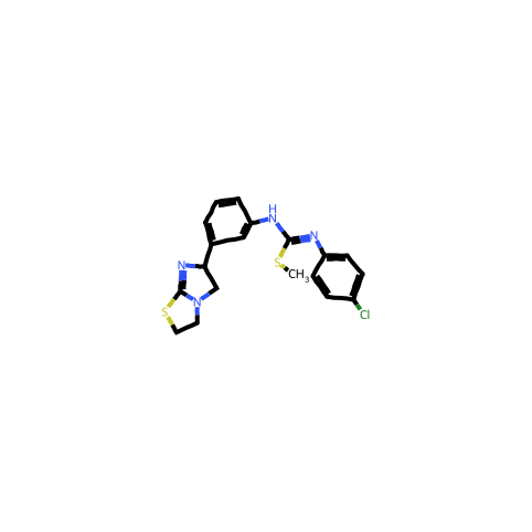 CSC(=Nc1ccc(Cl)cc1)Nc1cccc(C2CN3CCSC3=N2)c1